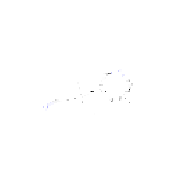 CC(C)(C#N)c1cncc(F)c1